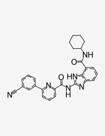 N#Cc1cccc(-c2cccc(C(=O)Nc3nc4cccc(C(=O)NC5CCCCC5)c4[nH]3)n2)c1